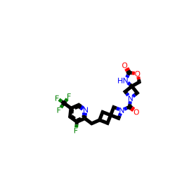 O=C1NC2(CO1)CN(C(=O)N1CC3(CC(Cc4ncc(C(F)(F)F)cc4F)C3)C1)C2